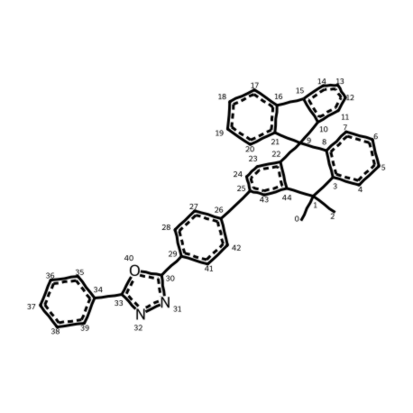 CC1(C)c2ccccc2C2(c3ccccc3-c3ccccc32)c2ccc(-c3ccc(-c4nnc(-c5ccccc5)o4)cc3)cc21